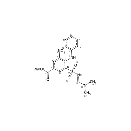 COC(=O)c1cc([N+](=O)[O-])c(Nc2ccccc2)c(S(=O)(=O)N=CN(C)C)c1